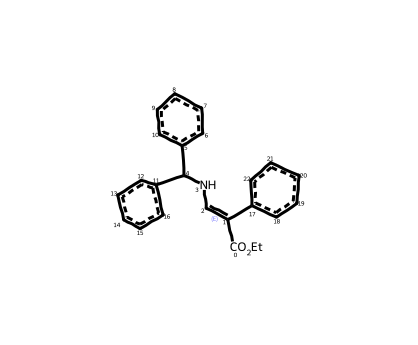 CCOC(=O)/C(=C/NC(c1ccccc1)c1ccccc1)c1ccccc1